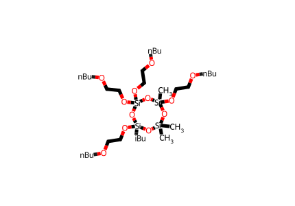 CCCCOCCO[Si]1(C)O[Si](C)(C)O[Si](OCCOCCCC)(C(C)CC)O[Si](OCCOCCCC)(OCCOCCCC)O1